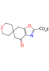 CCOC(=O)c1nc2c(o1)CC1(CCOCC1)CC2=O